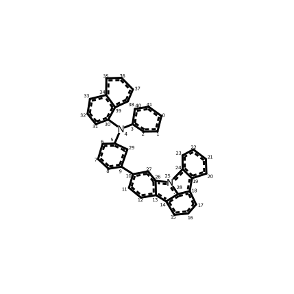 c1ccc(N(c2cccc(-c3ccc4c5cccc6c7ccccc7n(c4c3)c65)c2)c2cccc3ccccc23)cc1